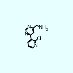 NCc1cc(-c2cccnc2Cl)ncn1